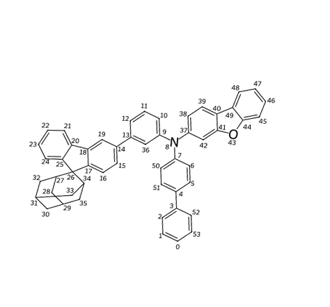 c1ccc(-c2ccc(N(c3cccc(-c4ccc5c(c4)-c4ccccc4C54C5CC6CC(C5)CC4C6)c3)c3ccc4c(c3)oc3ccccc34)cc2)cc1